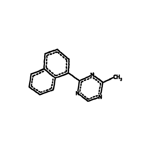 Cc1ncnc(-c2cccc3ccccc23)n1